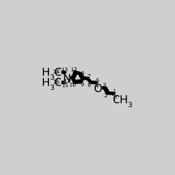 CCC=COCCCc1ccc(N(CC)CC)cc1